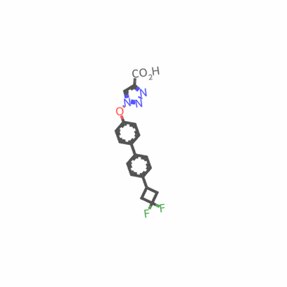 O=C(O)c1cn(Oc2ccc(-c3ccc(C4CC(F)(F)C4)cc3)cc2)nn1